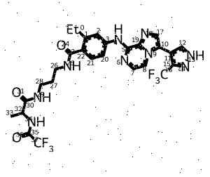 CCc1cc(Nc2nccn3c(-c4c[nH]nc4C(F)(F)F)cnc23)ccc1C(=O)NCCCNC(=O)C(C)NC(=O)C(F)(F)F